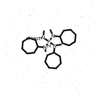 CCCCCCCN(C)[PH](N(C)C1CCCCCC1)(N(C)C1CCCCCC1)N(C)C1CCCCCC1